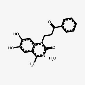 Cc1nc(=O)n(CCC(=O)c2ccccc2)c2cc(O)c(O)cc12.O